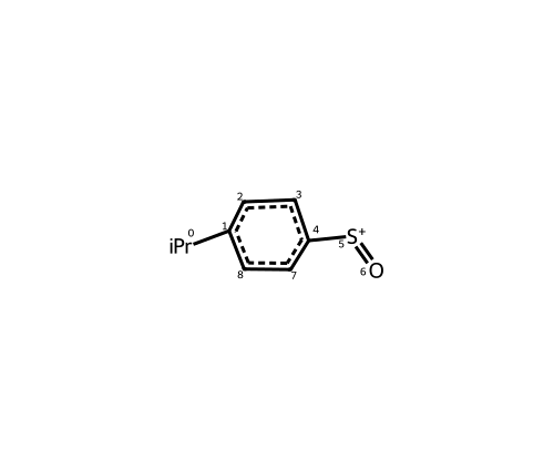 CC(C)c1ccc([S+]=O)cc1